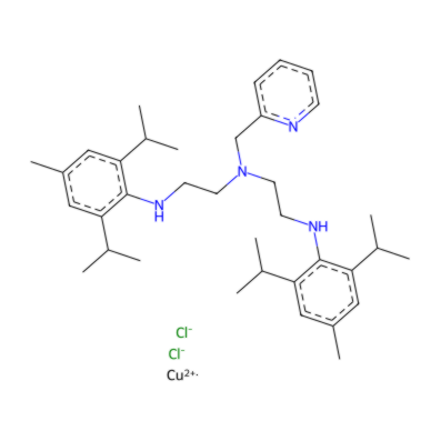 Cc1cc(C(C)C)c(NCCN(CCNc2c(C(C)C)cc(C)cc2C(C)C)Cc2ccccn2)c(C(C)C)c1.[Cl-].[Cl-].[Cu+2]